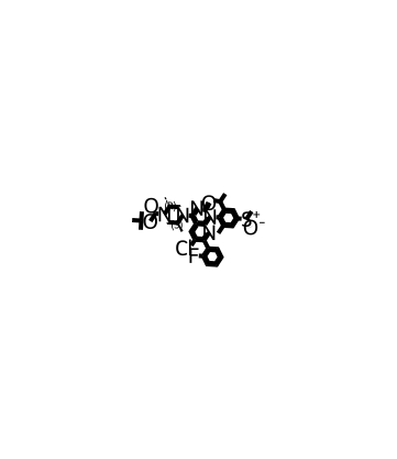 Cc1cc([S+](C)[O-])cc(C(C)C)c1-n1c(=O)nc(N2C[C@@H](C)N(C(=O)OC(C)(C)C)C[C@@H]2C)c2cc(Cl)c(-c3ccccc3F)nc21